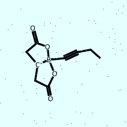 CCC#C[B-]12OC(=O)C[C+]1CC(=O)O2